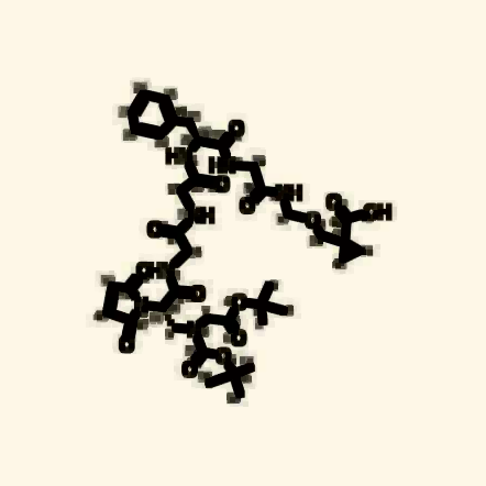 CC(C)(C)OC(=O)CN(C[C@@H](C(=O)NCC(=O)NCC(=O)N[C@@H](Cc1ccccc1)C(=O)NCC(=O)NCOCC1(C(=O)O)CC1)N1C(=O)C=CC1=O)C(=O)OC(C)(C)C